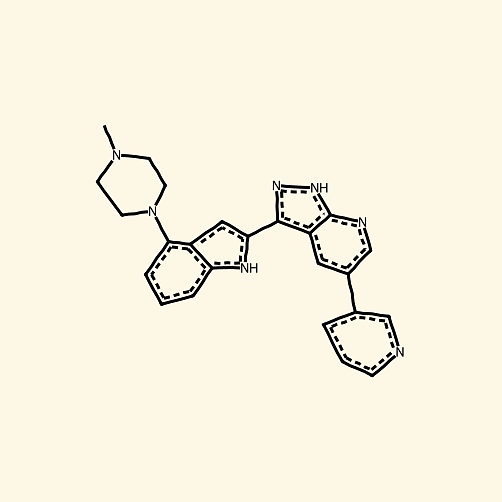 CN1CCN(c2cccc3[nH]c(-c4n[nH]c5ncc(-c6cccnc6)cc45)cc23)CC1